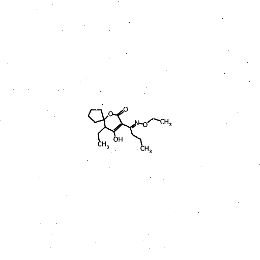 CCCC(=NOCC)C1=C(O)C(CC)C2(CCCC2)OC1=O